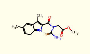 COC(=O)CN(C(=O)C1=C(C)C2=CC(C)=CCC2=N1)C(N)=S